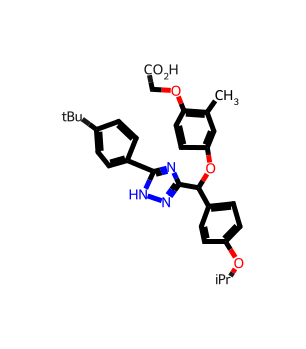 Cc1cc(OC(c2ccc(OC(C)C)cc2)c2n[nH]c(-c3ccc(C(C)(C)C)cc3)n2)ccc1OCC(=O)O